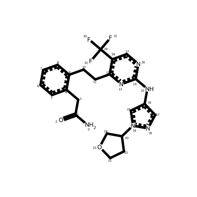 NC(=O)Cc1ccccc1CCc1nc(Nc2cnn(C3CCOC3)c2)ncc1C(F)(F)F